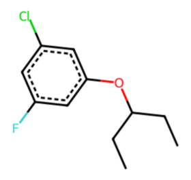 CCC(CC)Oc1cc(F)cc(Cl)c1